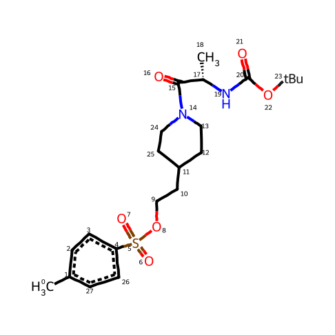 Cc1ccc(S(=O)(=O)OCCC2CCN(C(=O)[C@H](C)NC(=O)OC(C)(C)C)CC2)cc1